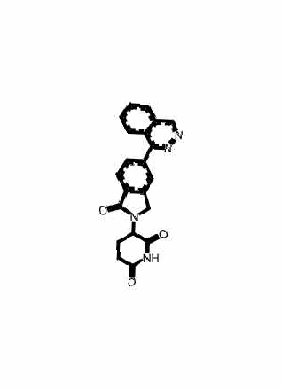 O=C1CCC(N2Cc3cc(-c4nncc5ccccc45)ccc3C2=O)C(=O)N1